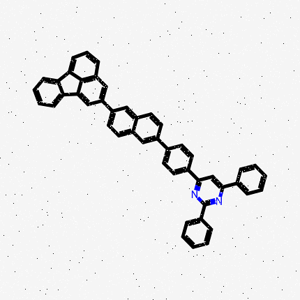 c1ccc(-c2cc(-c3ccc(-c4ccc5cc(-c6cc7c8c(cccc8c6)-c6ccccc6-7)ccc5c4)cc3)nc(-c3ccccc3)n2)cc1